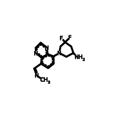 C/N=C\c1ccc(N2CC(N)CC(F)(F)C2)c2nccnc12